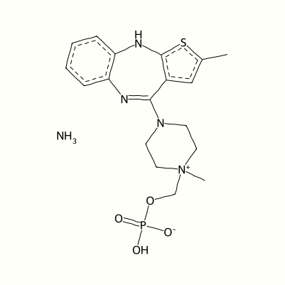 Cc1cc2c(s1)Nc1ccccc1N=C2N1CC[N+](C)(COP(=O)([O-])O)CC1.N